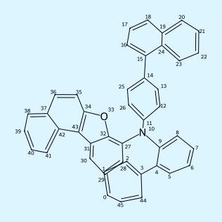 c1ccc(-c2ccccc2N(c2ccc(-c3cccc4ccccc34)cc2)c2cccc3c2oc2ccc4ccccc4c23)cc1